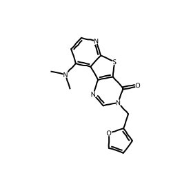 CN(C)c1ccnc2sc3c(=O)n(Cc4ccco4)cnc3c12